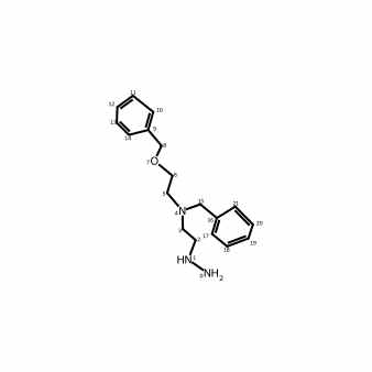 NNCCN(CCOCc1ccccc1)Cc1ccccc1